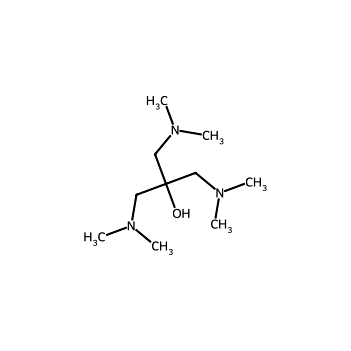 CN(C)CC(O)(CN(C)C)CN(C)C